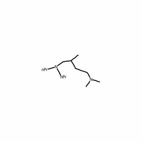 CCCN(CCC)CC(C)[CH]CN(C)C